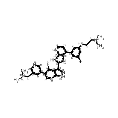 CN(C)CCNc1cc(F)cc(-c2ccnc3[nH]c(-c4n[nH]c5ncc(-c6cncc(CN(C)C)c6)c(F)c45)nc23)c1